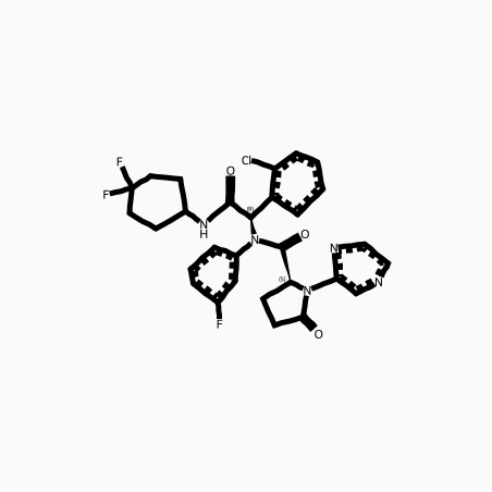 O=C(NC1CCC(F)(F)CC1)[C@@H](c1ccccc1Cl)N(C(=O)[C@@H]1CCC(=O)N1c1cnccn1)c1cccc(F)c1